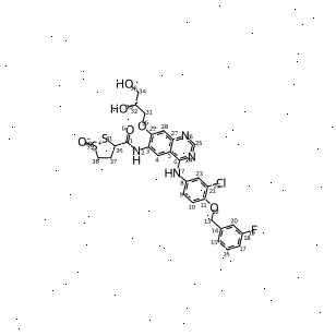 O=C(Nc1cc2c(Nc3ccc(OCc4cccc(F)c4)c(Cl)c3)ncnc2cc1OCC(O)CO)C1CC[S+]([O-])S1